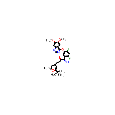 COc1cc2ncnc(Oc3cc(C(=N)C(=O)CCC4=C[C@H](C)OC(C(C)(C)C)=C4)c(F)cc3F)c2cc1OC